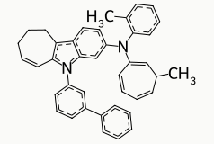 Cc1ccccc1N(C1=CC(C)C=CC=C1)c1ccc2c3c(n(-c4cccc(-c5ccccc5)c4)c2c1)C=CCCC3